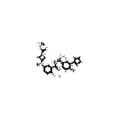 Cc1ccc(NC2CN(C(=O)OC(C)(C)C)C2)cc1C(=O)NC(C)c1ccc(Br)c(-c2cccs2)c1